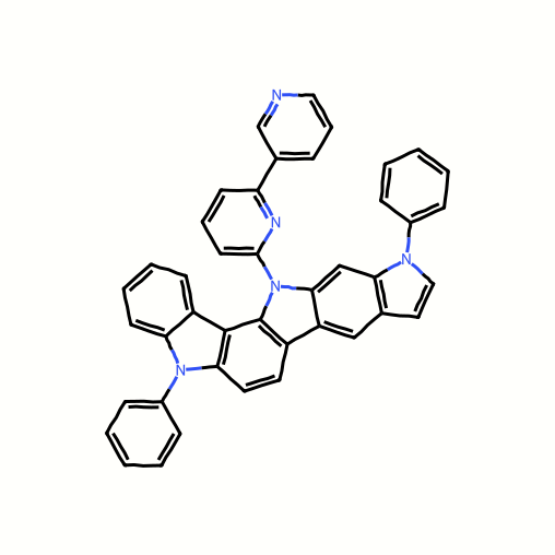 c1ccc(-n2ccc3cc4c5ccc6c(c7ccccc7n6-c6ccccc6)c5n(-c5cccc(-c6cccnc6)n5)c4cc32)cc1